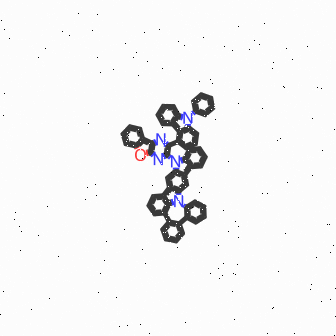 c1ccc(-n2c3ccccc3c3c(-c4nc5c(nc4-n4c6ccccc6c6cc7c(cc64)c4cccc6c4n7-c4ccccc4-c4ccccc4-6)oc4ccccc45)cccc32)cc1